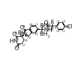 BC(B)(NC(=O)C(F)(F)c1ccc(Cl)cc1)c1ccc2c(c1)CN(C1(B)CCC(=O)NC1=O)C2=O